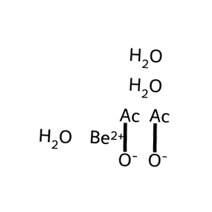 CC(=O)[O-].CC(=O)[O-].O.O.O.[Be+2]